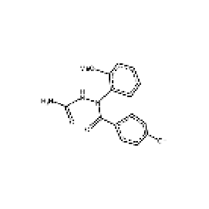 COc1ccccc1N(NC(N)=O)C(=O)c1ccc(O)cc1